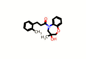 Cc1ccccc1CCC(=O)N1CC(C)(O)COc2ccccc21